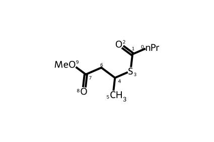 CCCC(=O)SC(C)CC(=O)OC